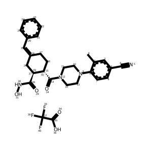 Cc1cc(C#N)ccc1N1CCN(C(=O)[C@H]2CCC(=Cc3ccccc3)C[C@@H]2C(=O)NO)CC1.O=C(O)C(F)(F)F